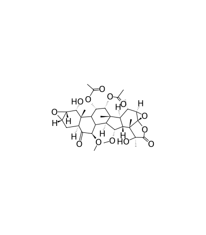 CO[C@H]1[C@@H]2[C@H]([C@H](C)[C@H]3O[C@]34OC(=O)[C@@](C)(O)[C@]24C)[C@]2(C)[C@@H]1C1C([C@H](OC(C)=O)[C@@H]2OC(C)=O)[C@]2(C)[C@H](C[C@@H]3O[C@@H]3[C@@H]2O)C(=O)[C@@H]1OC